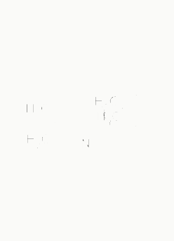 C=C(C)c1cc2c(cn1)C1CC(C2)C1(C)C